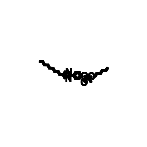 CCCCCCCCCc1cnc(-c2ccc(OC(=O)C(C)OCCCCCC)cc2)nc1